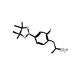 CC(Cc1ccc(B2OC(C)(C)C(C)(C)O2)cc1F)C(=O)O